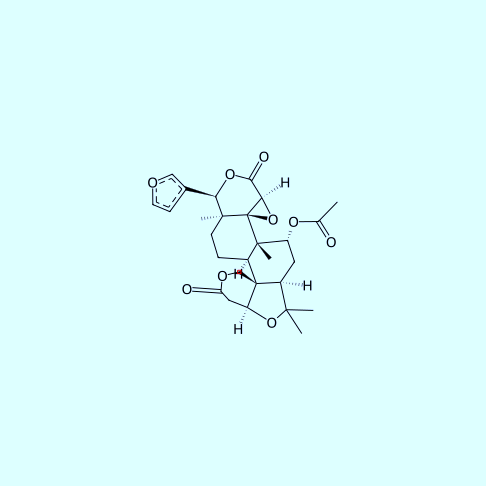 CC(=O)O[C@@H]1C[C@H]2C(C)(C)O[C@H]3CC(=O)OC[C@]32[C@H]2CC[C@@]3(C)[C@@H](c4ccoc4)OC(=O)[C@H]4O[C@]43[C@@]21C